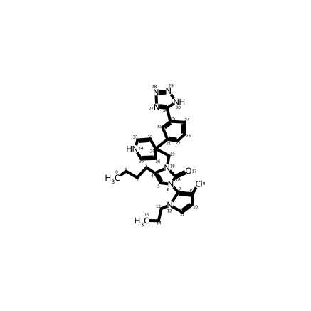 CCCCc1cn(-c2c(Cl)ccn2CCC)c(=O)n1CC1(c2cccc(-c3nnn[nH]3)c2)C=CNC=C1